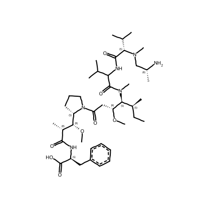 CC[C@H](C)[C@@H]([C@@H](CC(=O)N1CCC[C@H]1[C@H](OC)[C@@H](C)C(=O)N[C@@H](Cc1ccccc1)C(=O)O)OC)N(C)C(=O)C(NC(=O)[C@H](C(C)C)N(C)C[C@@H](C)N)C(C)C